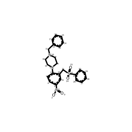 O=[N+]([O-])c1ccc(N2CCN(Cc3ccccc3)CC2)c(CS(=O)(=O)c2ccccc2)c1